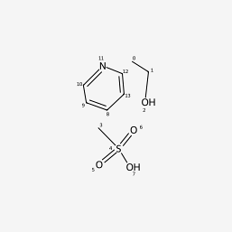 CCO.CS(=O)(=O)O.c1ccncc1